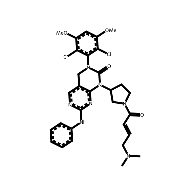 COc1cc(OC)c(Cl)c(N2Cc3cnc(Nc4ccccc4)nc3N(C3CCN(C(=O)/C=C/CN(C)C)C3)C2=O)c1Cl